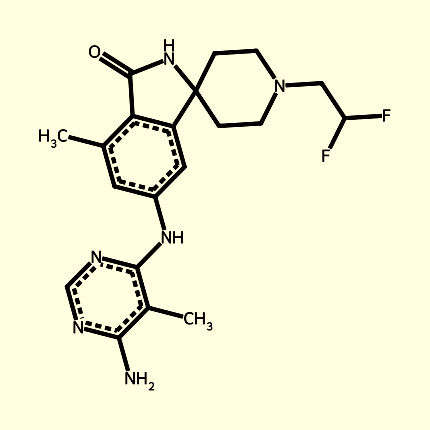 Cc1cc(Nc2ncnc(N)c2C)cc2c1C(=O)NC21CCN(CC(F)F)CC1